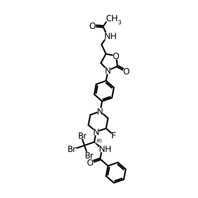 CC(=O)NCC1CN(c2ccc(N3CCN([C@@H](NC(=O)c4ccccc4)C(Br)(Br)Br)C(F)C3)cc2)C(=O)O1